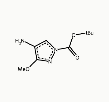 COc1nn(C(=O)OC(C)(C)C)cc1N